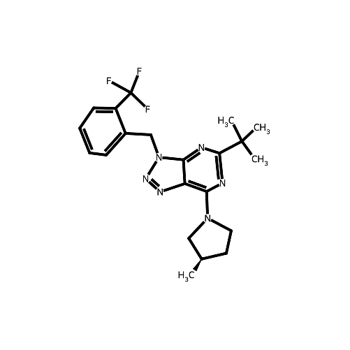 C[C@@H]1CCN(c2nc(C(C)(C)C)nc3c2nnn3Cc2ccccc2C(F)(F)F)C1